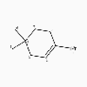 CC(C)C1=CCC(C)(C)CC1